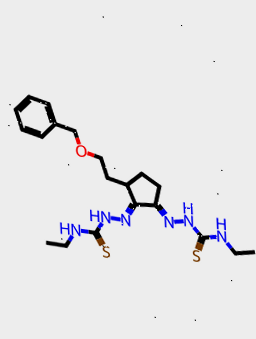 CCNC(=S)N/N=C1\CCC(CCOCc2ccccc2)\C1=N/NC(=S)NCC